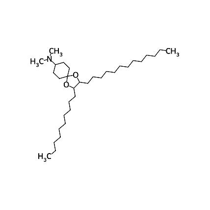 CCCCCCCCCCCCCC1OC2(CCC(N(C)C)CC2)OC1CCCCCCCCCC